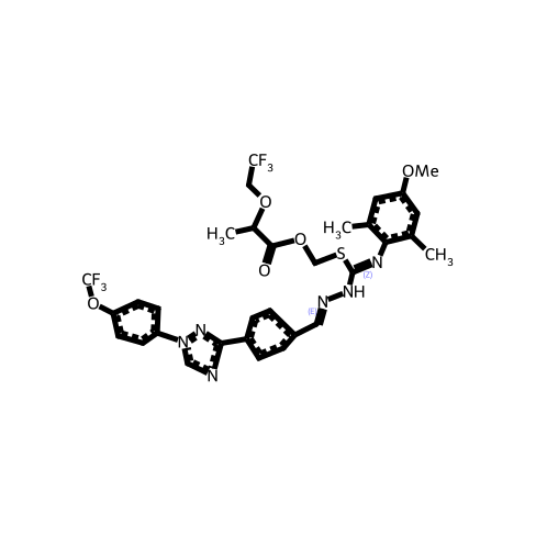 COc1cc(C)c(/N=C(/N/N=C/c2ccc(-c3ncn(-c4ccc(OC(F)(F)F)cc4)n3)cc2)SCOC(=O)C(C)OCC(F)(F)F)c(C)c1